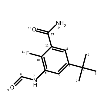 CC(C)(C)c1cc(NC=O)c(F)c(C(N)=O)c1